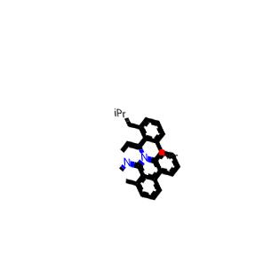 C/C=C(/c1c(CC(C)C)cccc1CC(C)C)n1/c(=N/C)c2c(C)cccc2c2ccccc21